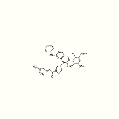 COc1cc(OC)c(Cl)c(N2Cc3cnc(Nc4ccccc4)nc3N(C3CCN(C(=O)C=CCN(C)C)C3)C2=O)c1Cl